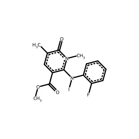 COC(=O)c1cc(C)c(=O)n(C)c1N(I)c1ccccc1F